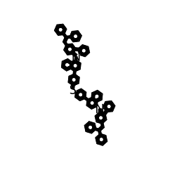 C(=C(c1ccccc1)c1ccccc1)c1ccc2c(c1)c1ccccc1n2-c1ccc(-c2ccc(Sc3ccc(-c4ccc(-n5c6ccccc6c6cc(C=C(c7ccccc7)c7ccccc7)ccc65)c5ccccc45)cc3)cc2)c2ccccc12